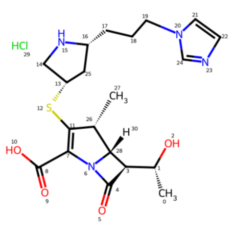 C[C@@H](O)[C@H]1C(=O)N2C(C(=O)O)=C(S[C@@H]3CN[C@H](CCCn4ccnc4)C3)[C@H](C)[C@H]12.Cl